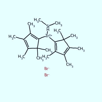 CC1=C(C)C(C)(C)[C]([Zr+2]([C]2=C(C)C(C)=C(C)C2(C)C)[SiH](C)C)=C1C.[Br-].[Br-]